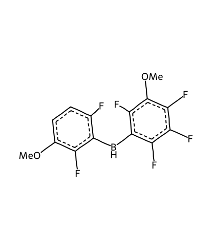 COc1ccc(F)c(Bc2c(F)c(F)c(F)c(OC)c2F)c1F